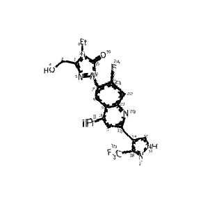 CCn1c(CO)nn(-c2cc3c(C(C)C)cc(-c4c[nH]nc4C(F)(F)F)nc3cc2F)c1=O